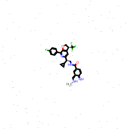 CN/C=C1/C=C(C(=O)NC[C@H](c2cc3c(c(-c4ccc(F)cc4)n2)OC[C@H]3C(F)(F)F)C2CC2)C=CC1=N